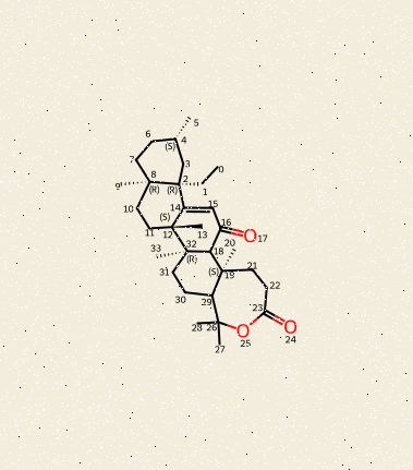 CC[C@@]12C[C@@H](C)CC[C@]1(C)CC[C@]1(C)C2=CC(=O)C2[C@@]3(C)CCC(=O)OC(C)(C)C3CC[C@]21C